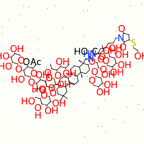 CC(=O)OC1C(C)OC(OC2C(C)OC(OC[C@]34CCC(C)(C)CC3C3=CCC5[C@@]6(C)CC[C@H](OC(OC(C(=O)O)C(C)O)C(OC7OCC(O)C(O)C7O)OC7OC(CO)C(O)C(O)C7O)[C@@](C)(/C=N/NC(=O)CCCCCN7C(=O)CC(SCCO)C7=O)C6CC[C@@]5(C)[C@]3(C)CC4)C(OOC(C)C(OC3OCC(O)C(OC4OC(CO)C(O)C(O)C4O)C3O)C(O)C(C)O)C2O)C(O)C1OC1OCC(O)C(O)C1O